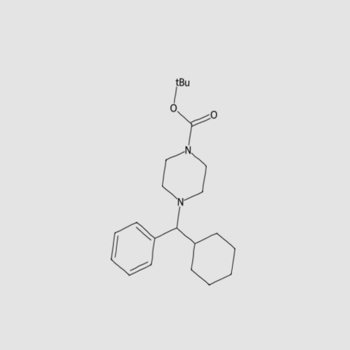 CC(C)(C)OC(=O)N1CCN(C(c2ccccc2)C2CCCCC2)CC1